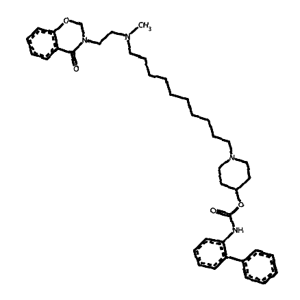 CN(CCCCCCCCCCN1CCC(OC(=O)Nc2ccccc2-c2ccccc2)CC1)CCN1COc2ccccc2C1=O